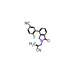 C=C(C#N)CN1Cc2c(cccc2-c2cc(C#N)ccc2F)C1=O